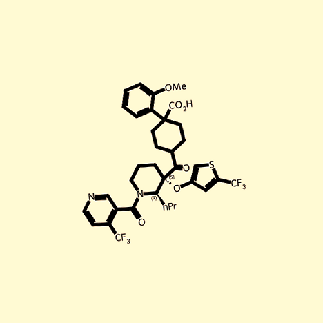 CCC[C@H]1N(C(=O)c2cnccc2C(F)(F)F)CCC[C@@]1(Oc1csc(C(F)(F)F)c1)C(=O)C1CCC(C(=O)O)(c2ccccc2OC)CC1